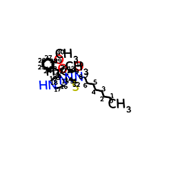 CCCCCCCCN1C(=O)C(C)(C)N(N2CCNCC2C(=O)c2ccccc2OC)C1=S